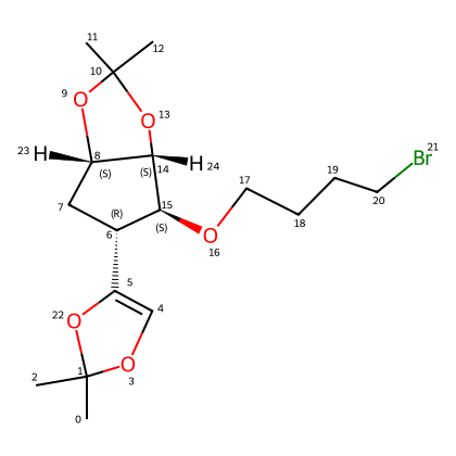 CC1(C)OC=C([C@@H]2C[C@@H]3OC(C)(C)O[C@@H]3[C@H]2OCCCCBr)O1